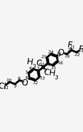 CC(C)(c1ccc(OCCCCl)cc1)c1ccc(OC[C@@H](F)CF)cc1